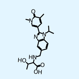 Cc1cc(-c2nc3cc(CNC(C(=O)O)C(C)O)ccc3n2C(C)C)cn(C)c1=O